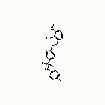 COc1cccc(CNc2ccc(S(=O)(=O)Nc3ccc(C)nc3)cc2)c1O